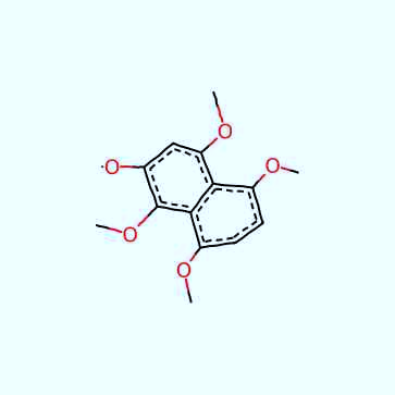 COc1ccc(OC)c2c(OC)c([O])cc(OC)c12